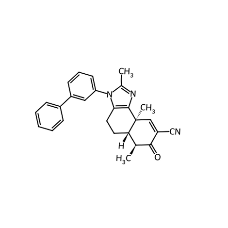 Cc1nc2c(n1-c1cccc(-c3ccccc3)c1)CC[C@H]1[C@H](C)C(=O)C(C#N)=C[C@]21C